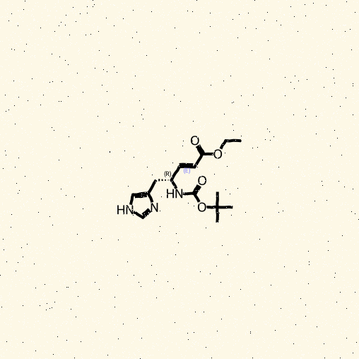 CCOC(=O)/C=C/[C@@H](Cc1c[nH]cn1)NC(=O)OC(C)(C)C